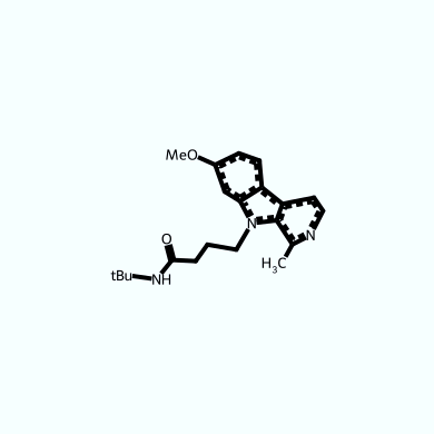 COc1ccc2c3ccnc(C)c3n(CCCC(=O)NC(C)(C)C)c2c1